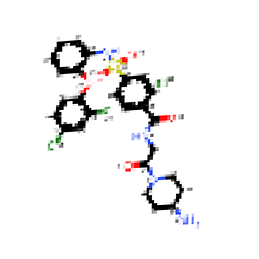 Cl.NC1CCN(C(=O)CNC(=O)c2ccc(S(=O)(=O)Nc3ccccc3Oc3ccc(Cl)cc3Cl)cc2)CC1